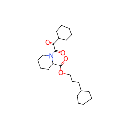 O=C(C(=O)N1CCCCC1C(=O)OCCCC1CCCCC1)C1CCCCC1